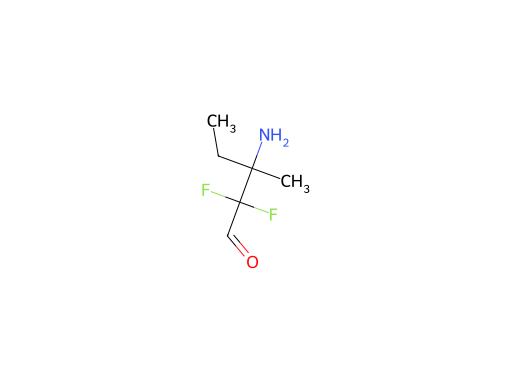 CCC(C)(N)C(F)(F)C=O